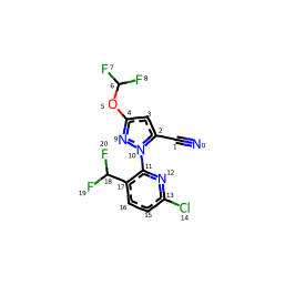 N#Cc1cc(OC(F)F)nn1-c1nc(Cl)ccc1C(F)F